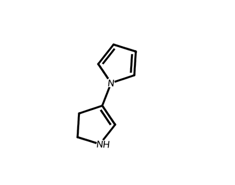 C1=C(n2cccc2)CCN1